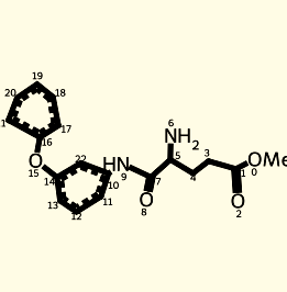 COC(=O)CCC(N)C(=O)Nc1cccc(Oc2ccccc2)c1